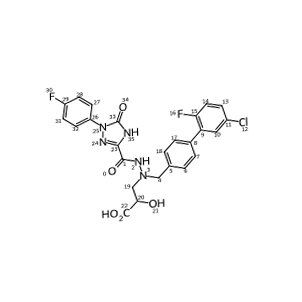 O=C(NN(Cc1ccc(-c2cc(Cl)ccc2F)cc1)CC(O)C(=O)O)c1nn(-c2ccc(F)cc2)c(=O)[nH]1